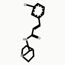 O=C(C=Cc1cccc(Cl)c1)NC1CN2CCC1CC2